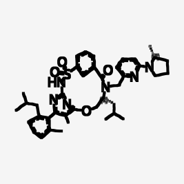 Cc1cccc(CC(C)C)c1-c1nc2nc(c1C)OC[C@@H](CC(C)C)N(Cc1cccc(N3CCC[C@H]3C)n1)C(=O)c1cccc(c1)S(=O)(=O)N2